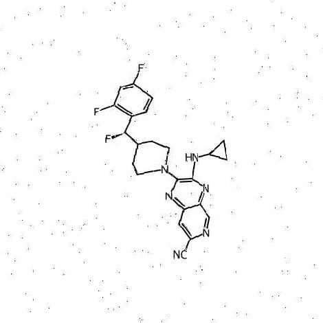 N#Cc1cc2nc(N3CCC([C@@H](F)c4ccc(F)cc4F)CC3)c(NC3CC3)nc2cn1